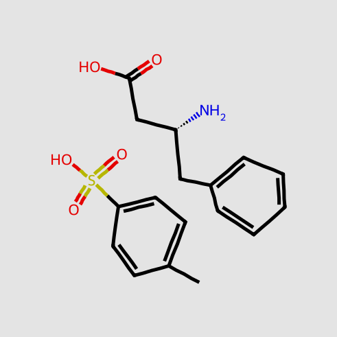 Cc1ccc(S(=O)(=O)O)cc1.N[C@@H](CC(=O)O)Cc1ccccc1